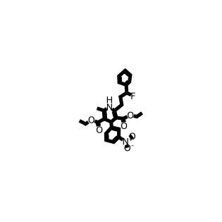 CCOC(=O)C1=C(C)NC(CCC(F)c2ccccc2)=C(C(=O)OCC)C1c1cccc([N+](=O)[O-])c1